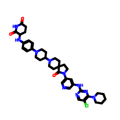 O=C1CCC(Nc2ccc(N3CCC(N4CCC5(CCN(c6cncc(Nc7ncc(Cl)c(N8CCCCC8)n7)c6)C5=O)CC4)CC3)cc2)C(=O)N1